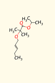 CCC=CCOC(C)(C)C(=O)OC(C)C